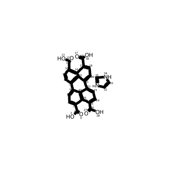 O=C(O)c1ccc2c3ccc(C(=O)O)c4c(C(=O)O)ccc(c5ccc(C(=O)O)c1c25)c43.c1c[nH]cn1